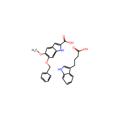 COc1cc2cc(C(=O)O)[nH]c2cc1OCc1ccccc1.O=C(O)CCCc1c[nH]c2ccccc12